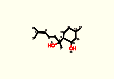 CC(C)=CCCC(C)(O)C1CCC(C)CC1O